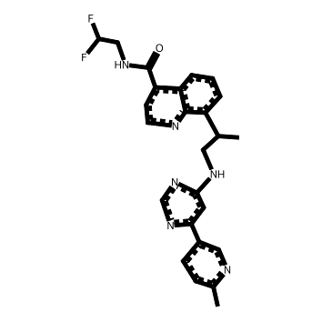 Cc1ccc(-c2cc(NCC(C)c3cccc4c(C(=O)NCC(F)F)ccnc34)ncn2)cn1